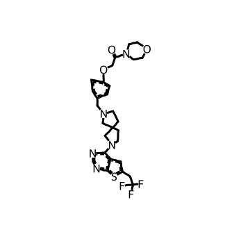 O=C(COc1ccc(CN2CCC3(CCN(c4ncnc5sc(CC(F)(F)F)cc45)C3)C2)cc1)N1CCOCC1